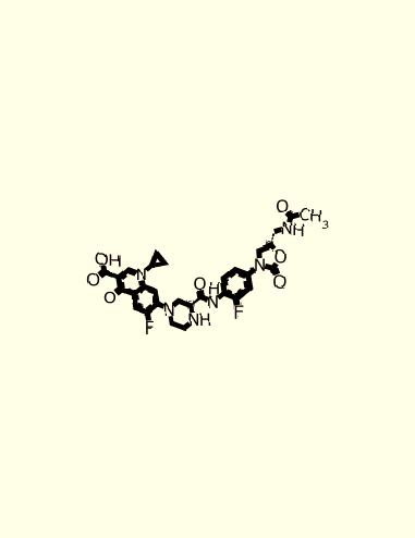 CC(=O)NC[C@H]1CN(c2ccc(NC(=O)[C@@H]3CN(c4cc5c(cc4F)c(=O)c(C(=O)O)cn5C4CC4)CCN3)c(F)c2)C(=O)O1